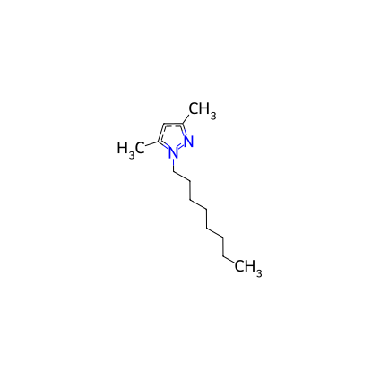 CCCCCCCCn1nc(C)cc1C